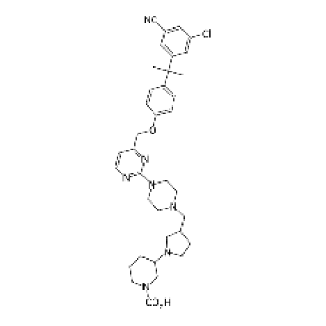 CC(C)(c1ccc(OCc2ccnc(N3CCN(CC4CCN(C5CCCN(C(=O)O)C5)C4)CC3)n2)cc1)c1cc(Cl)cc(C#N)c1